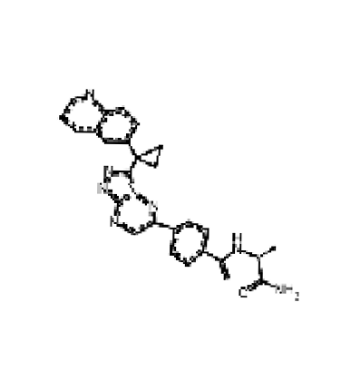 C=C(N[C@@H](C)C(N)=O)c1ccc(-c2cnc3nnc(C4(c5ccc6ncccc6c5)CC4)n3n2)cc1